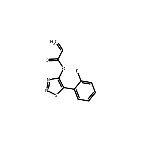 C=CC(=O)Oc1nnsc1-c1ccccc1F